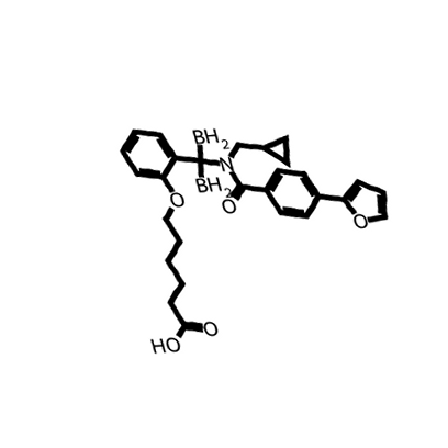 BC(B)(c1ccccc1OCCCCCC(=O)O)N(CC1CC1)C(=O)c1ccc(-c2ccco2)cc1